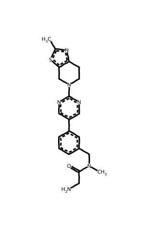 Cc1nc2c(s1)CN(c1ncc(-c3cccc(CN(C)C(=O)CN)c3)cn1)CC2